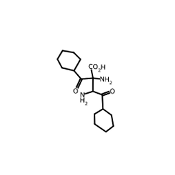 NC(C(=O)C1CCCCC1)C(N)(C(=O)O)C(=O)C1CCCCC1